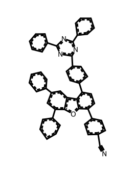 N#Cc1ccc(-c2ccc(-c3ccc(-c4nc(-c5ccccc5)nc(-c5ccccc5)n4)cc3)c3c2oc2c(-c4ccccc4)cc(-c4ccccc4)cc23)cc1